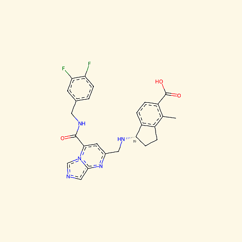 Cc1c(C(=O)O)ccc2c1CC[C@@H]2NCc1cc(C(=O)NCc2ccc(F)c(F)c2)n2cncc2n1